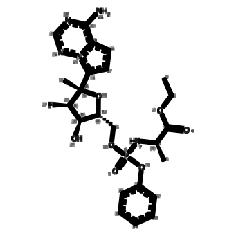 CCOC(=O)[C@@H](C)NP(=O)(OC[C@H]1O[C@@](C)(c2ccc3c(N)ncnn23)[C@H](F)[C@@H]1O)Oc1ccccc1